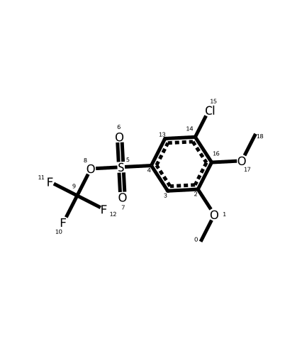 COc1cc(S(=O)(=O)OC(F)(F)F)cc(Cl)c1OC